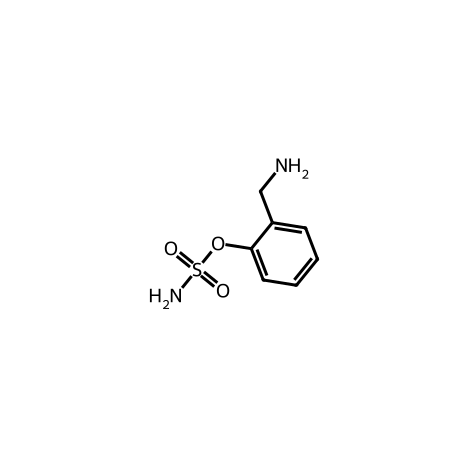 NCc1ccccc1OS(N)(=O)=O